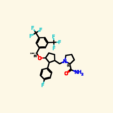 C[C@@H](OC1CCC(CN2CCC[C@H]2C(N)=O)C1c1ccc(F)cc1)c1cc(C(F)(F)F)cc(C(F)(F)F)c1